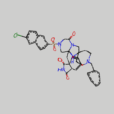 O=C1NC(=O)C2(CC34CN(S(=O)(=O)c5ccc6cc(Cl)ccc6c5)CC(=O)N3CC3(CCN(Cc5ccccc5)CC3)N4)C=CC=CC12